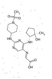 C[C@@]1(O)CCC[C@H]1Nc1nc(NC2CCN(S(C)(=O)=O)CC2)ncc1N=CC(=O)O